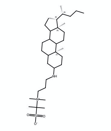 CCC[C@@H](C)[C@H]1CCC2C3CCC4CC(NCCC[N+](C)(C)C(C)(C)S(=O)(=O)[O-])CC[C@]4(C)C3CC[C@@]21C